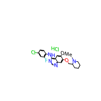 COc1cc2c(Nc3ccc(Cl)cc3F)ncnc2cc1OCC1CCCCN1C.Cl